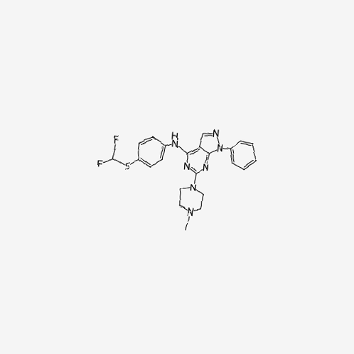 CN1CCN(c2nc(Nc3ccc(SC(F)F)cc3)c3cnn(-c4ccccc4)c3n2)CC1